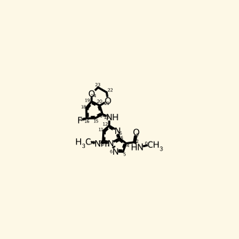 CNC(=O)c1cnn2c(NC)cc(Nc3cc(F)cc4c3OCCO4)nc12